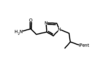 CCCC(C)C(C)Cn1cnc(CC(N)=O)c1